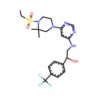 CCS(=O)(=O)N1CCN(c2cc(NCC(O)c3ccc(C(F)(F)F)cc3)ncn2)CC1(C)C